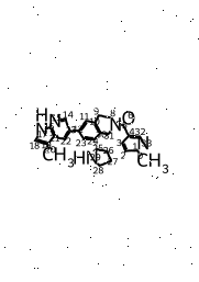 Cc1ccc(C(=O)N2CCc3cc(-c4cnc5[nH]cc(C)c5c4)cc([C@@H]4CCCN4)c3C2)cn1